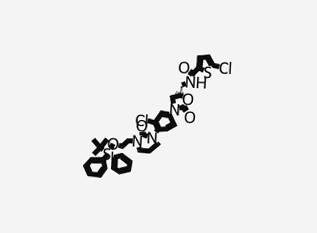 CC(C)(C)[Si](OCCN1CCCN(c2ccc(N3C[C@H](CNC(=O)c4ccc(Cl)s4)OC3=O)cc2Cl)C1=O)(c1ccccc1)c1ccccc1